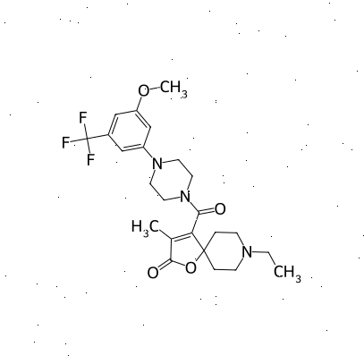 CCN1CCC2(CC1)OC(=O)C(C)=C2C(=O)N1CCN(c2cc(OC)cc(C(F)(F)F)c2)CC1